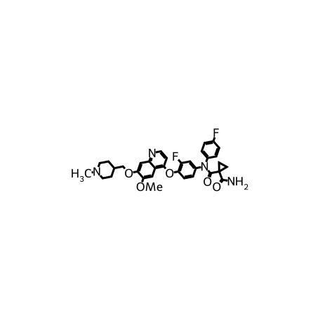 COc1cc2c(Oc3ccc(N(C(=O)C4(C(N)=O)CC4)c4ccc(F)cc4)cc3F)ccnc2cc1OCC1CCN(C)CC1